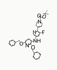 CC(C)(C)OC(=O)N1CC=C(c2ncc(Nc3ccc(OCc4ccccc4)nc3OCc3ccccc3)cc2F)CC1